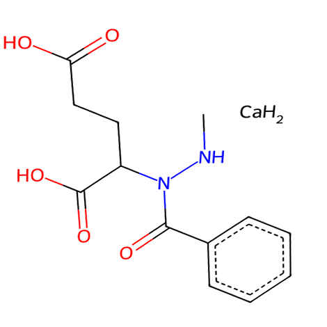 CNN(C(=O)c1ccccc1)C(CCC(=O)O)C(=O)O.[CaH2]